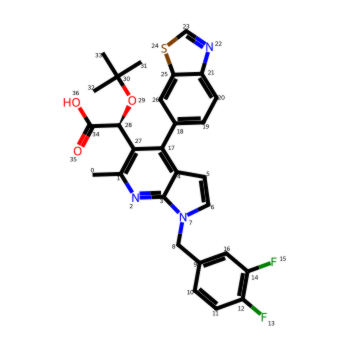 Cc1nc2c(ccn2Cc2ccc(F)c(F)c2)c(-c2ccc3ncsc3c2)c1[C@H](OC(C)(C)C)C(=O)O